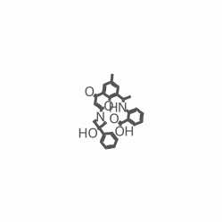 Cc1cc(C(C)Nc2ccccc2C(=O)O)c2oc(N3CC(O)(c4ccccc4)C3)cc(=O)c2c1